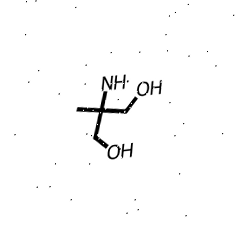 CC([NH])(CO)CO